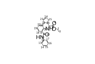 CCOC(=O)C1Nc2c(C(=O)Nc3ccccc3)cccc2C2C=CCC12